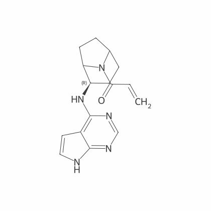 C=CC(=O)N1C2CCC1[C@H](Nc1ncnc3[nH]ccc13)CC2